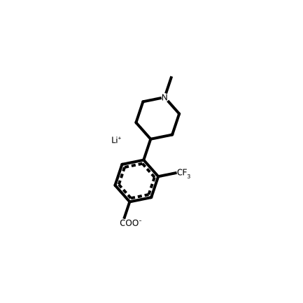 CN1CCC(c2ccc(C(=O)[O-])cc2C(F)(F)F)CC1.[Li+]